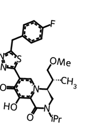 COC[C@H](C)[C@H]1CN(C(C)C)C(=O)c2c(O)c(=O)c(-c3nnc(Cc4ccc(F)cc4)s3)cn21